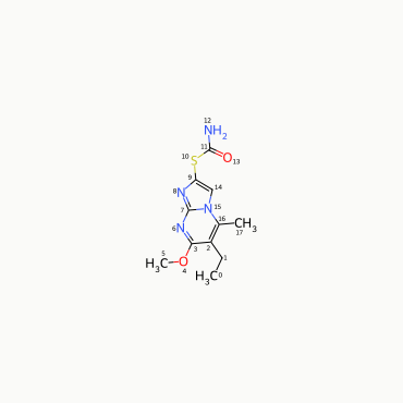 CCc1c(OC)nc2nc(SC(N)=O)cn2c1C